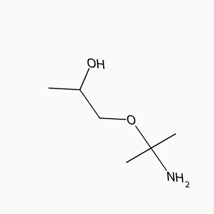 CC(O)COC(C)(C)N